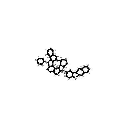 c1ccc(-n2c3ccc4ccc5c6c7c(cccc7n5-c5ccc7sc8cc9ccccc9cc8c7c5)-c5cc7ccccc7c2c5c3c46)cc1